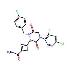 NC(=O)C12CC([C@H]3C(=O)N(c4ncc(Cl)cc4F)CC(=O)N3Cc3ccc(F)cc3)(C1)C2